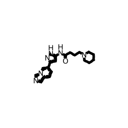 O=C(CCCN1CCCCC1)Nc1cc(-c2ccc3cncn3c2)n[nH]1